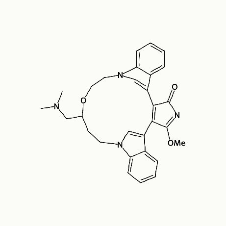 COC1=NC(=O)C2=C1c1cn(c3ccccc13)CCC(CN(C)C)OCCn1cc2c2ccccc21